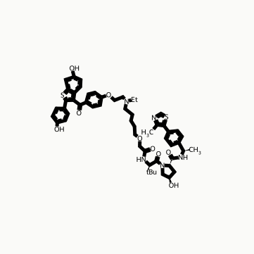 CCN(CCCCCOCC(=O)N[C@H](C(=O)N1C[C@H](O)C[C@H]1C(=O)N[C@@H](C)c1ccc(-c2scnc2C)cc1)C(C)(C)C)CCOc1ccc(C(=O)c2c(-c3ccc(O)cc3)sc3cc(O)ccc23)cc1